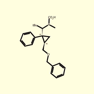 CN(C(=O)O)C(C(C)(C)C)[C@]1(c2ccccc2)C[C@H]1COCc1ccccc1